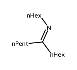 CCCCCC/N=C(\CCCCC)CCCCCC